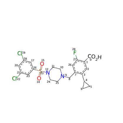 O=C(O)c1cc(C2CC2)c(CN2CCN(S(=O)(=O)c3cc(Cl)cc(Cl)c3)CC2)cc1F